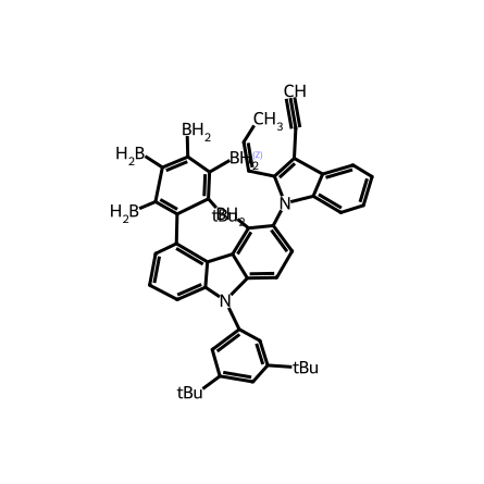 Bc1c(B)c(B)c(-c2cccc3c2c2c(C(C)(C)C)c(-n4c(/C=C\C)c(C#C)c5ccccc54)ccc2n3-c2cc(C(C)(C)C)cc(C(C)(C)C)c2)c(B)c1B